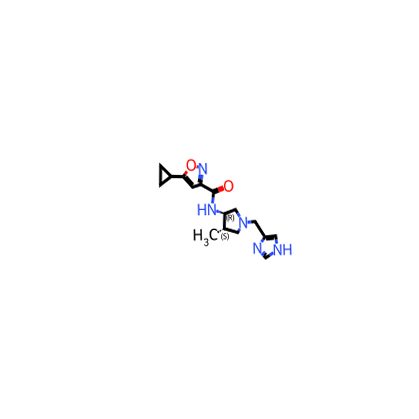 C[C@H]1CN(Cc2c[nH]cn2)C[C@@H]1NC(=O)c1cc(C2CC2)on1